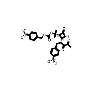 CC(=O)C(=O)C(Cc1ccc([N+](=O)[O-])cc1)[C@H]1NC(=O)[C@H]1C(C)(C)OC(=O)OCc1ccc([N+](=O)[O-])cc1